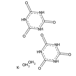 O.O.O=c1[nH]c(=O)[nH]c(=O)[nH]1.O=c1[nH]c(=O)[nH]c(=O)[nH]1.[K]